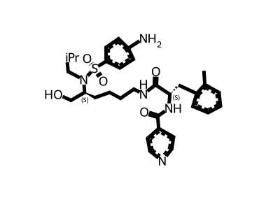 Cc1ccccc1C[C@H](NC(=O)c1ccncc1)C(=O)NCCCC[C@@H](CO)N(CC(C)C)S(=O)(=O)c1ccc(N)cc1